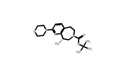 C[C@H]1CN(C(=O)OC(C)(C)C)CCc2ccc(N3CCOCC3)nc21